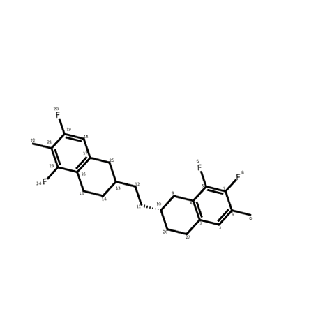 Cc1cc2c(c(F)c1F)C[C@@H](CCC1CCc3c(cc(F)c(C)c3F)C1)CC2